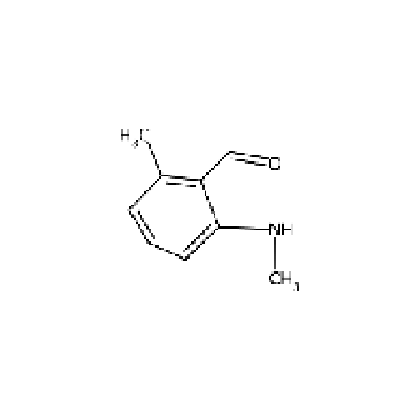 CNc1cccc(C)c1C=O